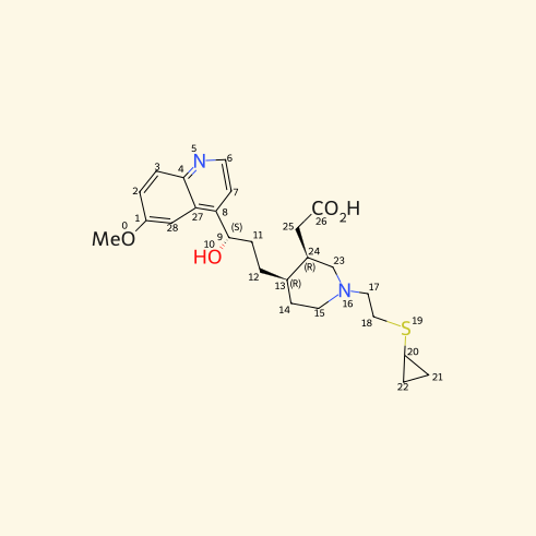 COc1ccc2nccc([C@@H](O)CC[C@@H]3CCN(CCSC4CC4)C[C@@H]3CC(=O)O)c2c1